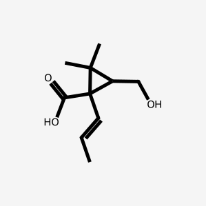 CC=CC1(C(=O)O)C(CO)C1(C)C